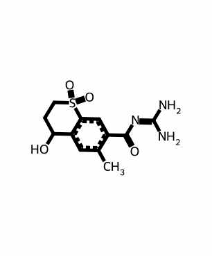 Cc1cc2c(cc1C(=O)N=C(N)N)S(=O)(=O)CCC2O